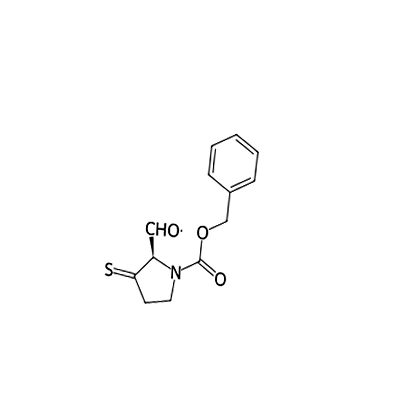 O=[C][C@@H]1C(=S)CCN1C(=O)OCc1ccccc1